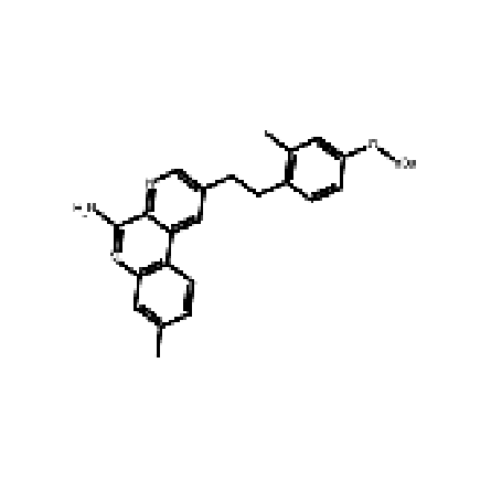 [CH2]CCCOc1ccc(CCc2cnc3c(N)nc4cc(C)ccc4c3c2)c(C)c1